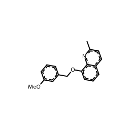 COc1cccc(COc2cccc3ccc(C)nc23)c1